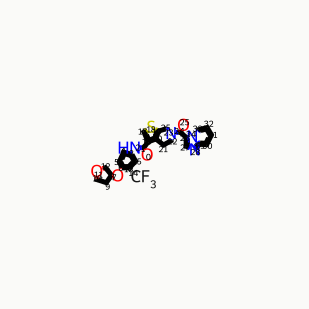 O=C(Nc1ccc(OC2CCOC2)c(C(F)(F)F)c1)c1csc2c1CCN(C(=O)c1cnc3ccccn13)C2